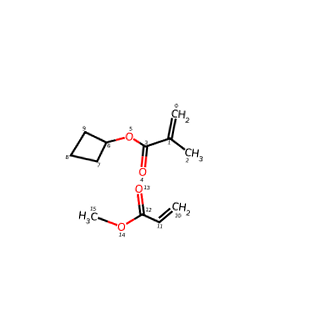 C=C(C)C(=O)OC1CCC1.C=CC(=O)OC